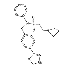 O=S(=O)(CCN1CCC1)N(Cc1ccc(C2=NNCO2)cc1)c1ccccc1